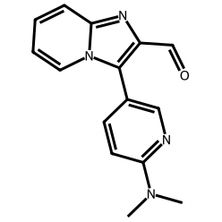 CN(C)c1ccc(-c2c(C=O)nc3ccccn23)cn1